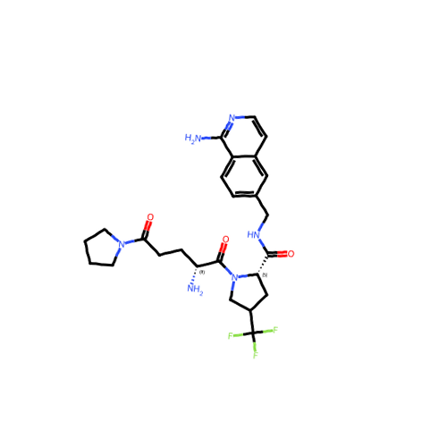 Nc1nccc2cc(CNC(=O)[C@@H]3CC(C(F)(F)F)CN3C(=O)[C@H](N)CCC(=O)N3CCCC3)ccc12